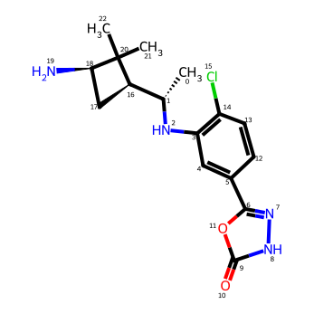 C[C@H](Nc1cc(-c2n[nH]c(=O)o2)ccc1Cl)[C@H]1C[C@@H](N)C1(C)C